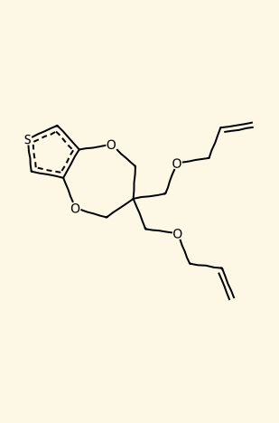 C=CCOCC1(COCC=C)COc2cscc2OC1